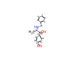 CC(NCc1ccccc1)[C@H](O)c1ccc(O)cc1